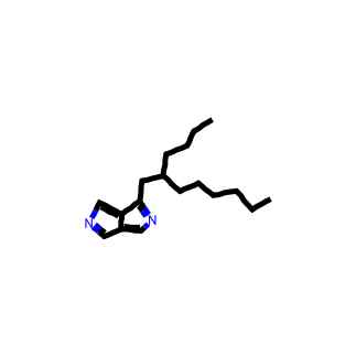 CCCCCCC(CCCC)CC1=NC=C2C=NC=C21